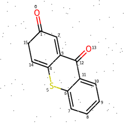 O=C1C=c2c(sc3ccccc3c2=O)=CC1